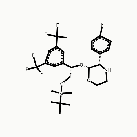 CC(C)(C)[Si](C)(C)OC[C@@H](O[C@H]1OCCN[C@H]1c1ccc(F)cc1)c1cc(C(F)(F)F)cc(C(F)(F)F)c1